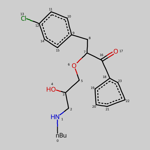 CCCCNCC(O)COC(Cc1ccc(Cl)cc1)C(=O)c1ccccc1